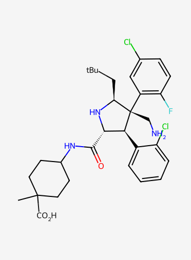 CC(C)(C)C[C@@H]1N[C@@H](C(=O)NC2CCC(C)(C(=O)O)CC2)[C@H](c2ccccc2Cl)[C@@]1(CN)c1cc(Cl)ccc1F